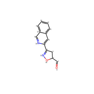 O=CC1CC(c2cc3ccccc3cn2)=NO1